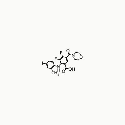 Cc1cc(I)ccc1Nc1c(C(=O)O)cc(C(=O)N2CCOCC2)c(F)c1F